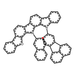 c1ccc2cc(-n3c4c(ccc5c6ccccc6oc54)c4ccc5c6ccccc6n(-c6ccc7c(c6)-c6cccc8cccc-7c68)c5c43)ccc2c1